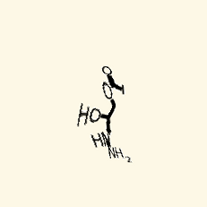 NNCC(O)COC(=O)I